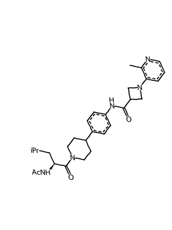 CC(=O)N[C@@H](CC(C)C)C(=O)N1CCC(c2ccc(NC(=O)C3CN(c4cccnc4C)C3)cc2)CC1